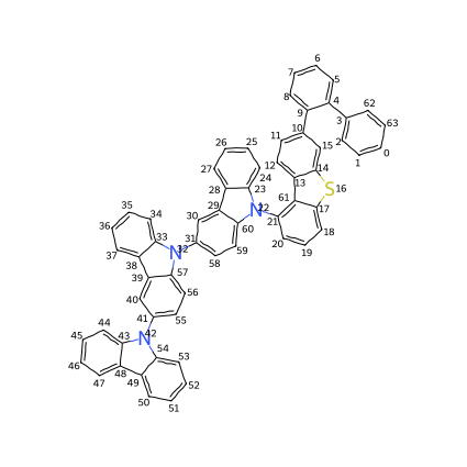 c1ccc(-c2ccccc2-c2ccc3c(c2)sc2cccc(-n4c5ccccc5c5cc(-n6c7ccccc7c7cc(-n8c9ccccc9c9ccccc98)ccc76)ccc54)c23)cc1